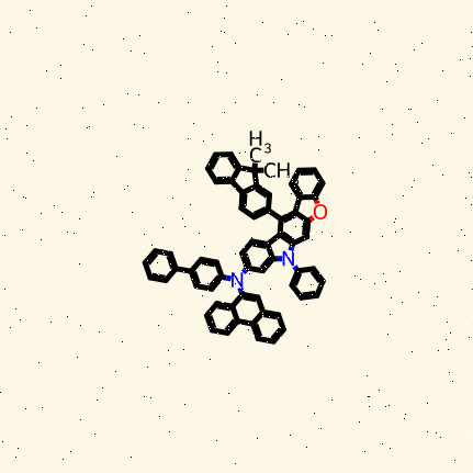 CC1(C)c2ccccc2-c2ccc(-c3c4c(cc5c3c3ccc(N(c6ccc(-c7ccccc7)cc6)c6cc7ccccc7c7ccccc67)cc3n5-c3ccccc3)oc3ccccc34)cc21